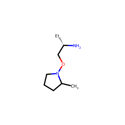 CC[C@H](N)CON1CCCC1C